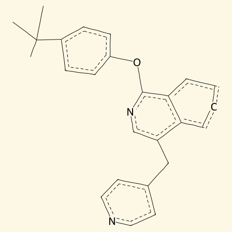 CC(C)(C)c1ccc(Oc2ncc(Cc3ccncc3)c3ccccc23)cc1